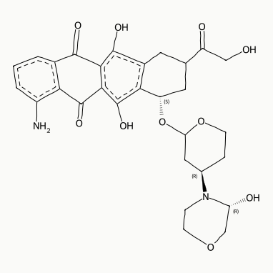 Nc1cccc2c1C(=O)c1c(O)c3c(c(O)c1C2=O)CC(C(=O)CO)C[C@@H]3OC1C[C@H](N2CCOC[C@H]2O)CCO1